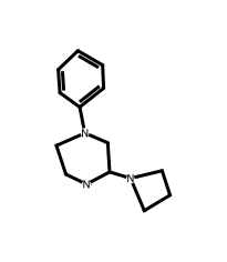 c1ccc(N2CC[N]C(N3CCC3)C2)cc1